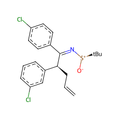 C=CC[C@H](C(=N[S@+]([O-])C(C)(C)C)c1ccc(Cl)cc1)c1cccc(Cl)c1